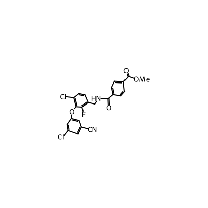 COC(=O)c1ccc(C(=O)NCc2ccc(Cl)c(Oc3cc(Cl)cc(C#N)c3)c2F)cc1